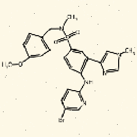 COc1ccc(CN(C)S(=O)(=O)c2ccc(Nc3ccc(Br)cn3)c(-c3cn(C)cn3)c2)cc1